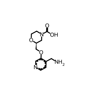 NCc1ccncc1OC[C@@H]1CN(C(=O)O)CCO1